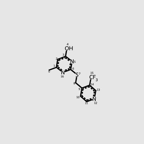 Cc1cc(O)nc(SCc2ccncc2C(F)(F)F)n1